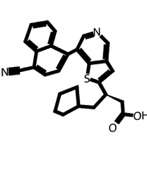 N#Cc1ccc(-c2cncc3cc([C@@H](CC(=O)O)CC4CCCC4)sc23)c2ccccc12